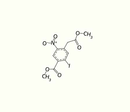 COC(=O)Cc1cc(I)c(C(=O)OC)cc1[N+](=O)[O-]